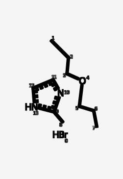 Br.CCCOCCC.Cc1ncc[nH]1